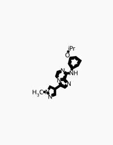 CC(C)Oc1cccc(Nc2nccn3c(C4C=NN(C)C4)cnc23)c1